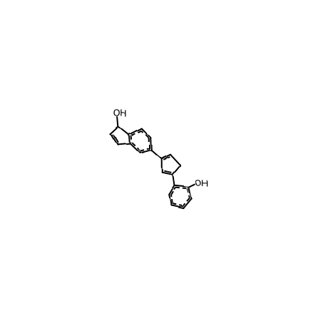 Oc1ccccc1C1=CC(c2ccc3c(c2)C=CC3O)=CC1